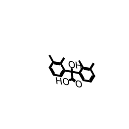 Cc1cccc(C(O)(C(=O)O)c2cccc(C)c2C)c1C